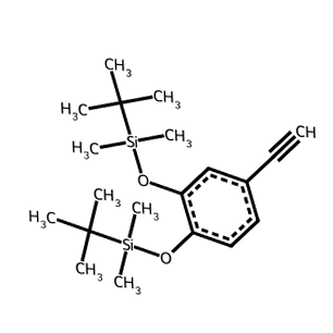 C#Cc1ccc(O[Si](C)(C)C(C)(C)C)c(O[Si](C)(C)C(C)(C)C)c1